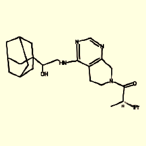 CC(C)[C@H](C)C(=O)N1CCc2c(ncnc2NCC(O)C23CC4CC(CC(C4)C2)C3)C1